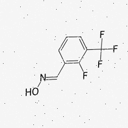 O/N=C/c1cccc(C(F)(F)F)c1F